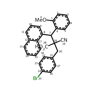 COc1ccccc1C(c1cccc2ccccc12)C(C#N)(Cc1ccc(Br)cc1)C(=O)O